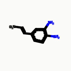 Nc1ccc(C=C[N+](=O)[O-])cc1N